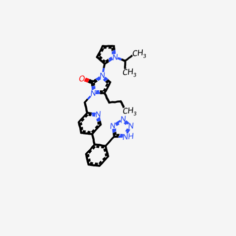 CCCc1cn(-c2cccn2C(C)C)c(=O)n1Cc1ccc(-c2ccccc2-c2nnn[nH]2)cn1